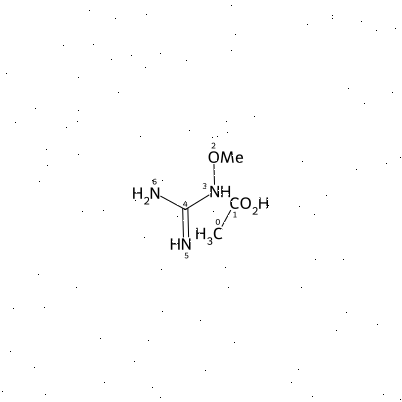 CC(=O)O.CONC(=N)N